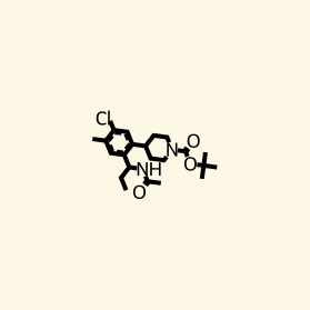 CCC(NC(C)=O)c1cc(C)c(Cl)cc1C1CCN(C(=O)OC(C)(C)C)CC1